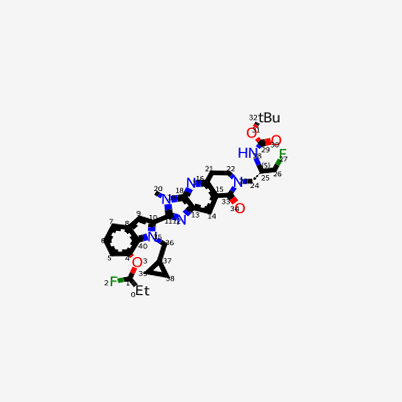 CCC(F)Oc1cccc2cc(-c3nc4cc5c(nc4n3C)CCN(C[C@@H](CF)NC(=O)OC(C)(C)C)C5=O)n(CC3CC3)c12